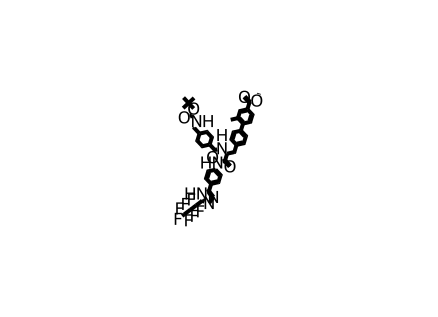 COC(=O)c1ccc(-c2ccc(CC(NC(=O)C3CCC(CNC(=O)OC(C)(C)C)CC3)C(=O)Nc3ccc(-c4nnc(C(F)(F)C(F)(F)C(F)(F)F)[nH]4)cc3)cc2)c(C)c1